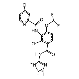 CN1NNN=C1NC(=O)c1ccc(OC(F)F)c(NC(=O)c2cc(Cl)ccn2)c1Cl